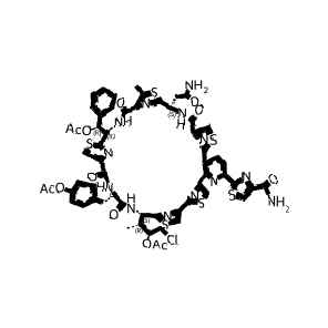 CC(=O)Oc1ccc(C[C@@H]2NC(=O)c3csc(n3)[C@H]([C@H](OC(C)=O)c3ccccc3)NC(=O)c3nc(sc3C)[C@H](CC(N)=O)NC(=O)c3csc(n3)-c3ccc(-c4nc(C(N)=O)cs4)nc3-c3csc(n3)-c3csc(n3)[C@H]([C@@H](C)[C@H](CCl)OC(C)=O)NC2=O)cc1